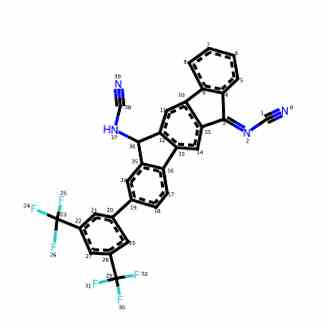 N#C/N=C1\c2ccccc2-c2cc3c(cc21)-c1ccc(-c2cc(C(F)(F)F)cc(C(F)(F)F)c2)cc1C3NC#N